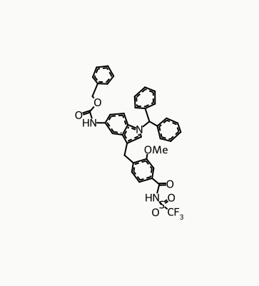 COc1cc(C(=O)NS(=O)(=O)C(F)(F)F)ccc1Cc1cn(C(c2ccccc2)c2ccccc2)c2ccc(NC(=O)OCc3ccccc3)cc12